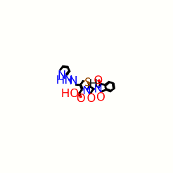 O=C(O)C1=C(C=NNc2ccccn2)CS[C@H]2C(N3C(=O)c4ccccc4C3=O)C(=O)N12